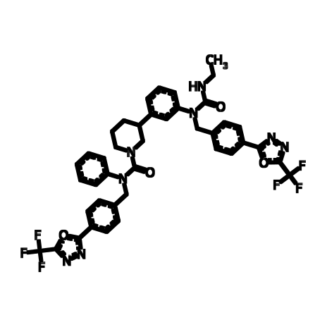 CCNC(=O)N(Cc1ccc(-c2nnc(C(F)(F)F)o2)cc1)c1cccc(C2CCCN(C(=O)N(Cc3ccc(-c4nnc(C(F)(F)F)o4)cc3)c3ccccc3)C2)c1